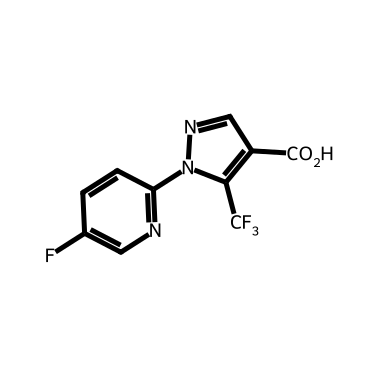 O=C(O)c1cnn(-c2ccc(F)cn2)c1C(F)(F)F